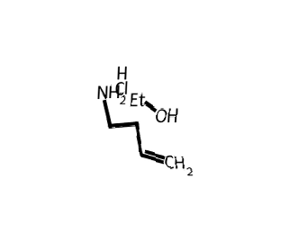 C=CCCN.CCO.Cl